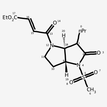 CCCC1C(=O)N(S(C)(=O)=O)[C@@H]2CCN(C(=O)/C=C/C(=O)OCC)[C@@H]12